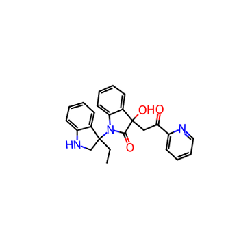 CCC1(N2C(=O)C(O)(CC(=O)c3ccccn3)c3ccccc32)CNc2ccccc21